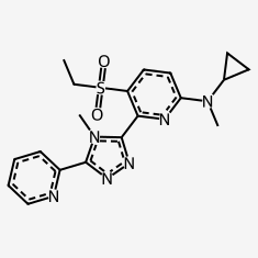 CCS(=O)(=O)c1ccc(N(C)C2CC2)nc1-c1nnc(-c2ccccn2)n1C